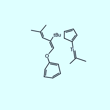 CC(C)=CC(=COc1ccccc1)C(C)(C)C.C[C](C)=[Ti][C]1=CC=CC1